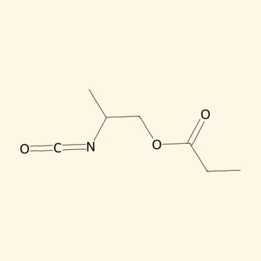 CCC(=O)OCC(C)N=C=O